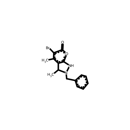 Cc1c2c(oc(=O)c1Br)NN(Cc1ccccc1)C2C